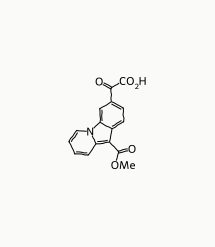 COC(=O)c1c2ccc(C(=O)C(=O)O)cc2n2ccccc12